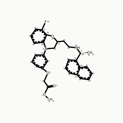 COC(=O)COc1cccc(N2CC(CCN[C@H](C)c3cccc4ccccc34)Oc3c(F)cccc32)c1